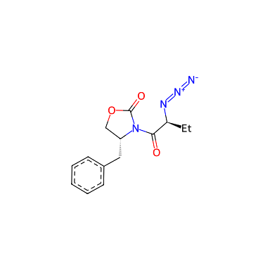 CC[C@H](N=[N+]=[N-])C(=O)N1C(=O)OC[C@H]1Cc1ccccc1